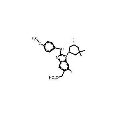 C[C@H]1C[C@H](n2c(Nc3ccc(OC(F)(F)F)cc3)nc3cc(CC(=O)O)c(F)cc32)CC(C)(C)C1